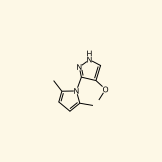 COc1c[nH]nc1-n1c(C)ccc1C